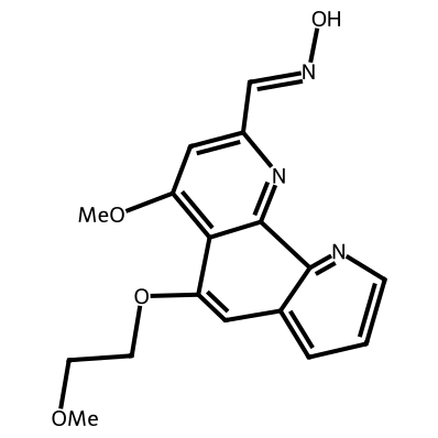 COCCOc1cc2cccnc2c2nc(C=NO)cc(OC)c12